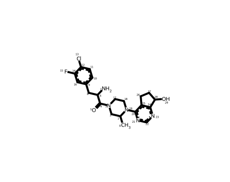 CC1CN(C(=O)C(N)Cc2ccc(Cl)c(F)c2)CCN1c1ncnc2c1CCC2O